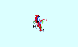 Cn1c(-c2ccc(OCC#N)c(F)c2F)cnc1C(=O)Nc1ccc(C(=O)N2CCN(C(=O)[C@H]3CCCN3)CC2)c(Cl)c1.O=C(O)C(F)(F)F